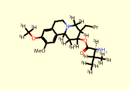 [2H]C([2H])([2H])Oc1cc2c(cc1OC)C1([2H])N(CC2)C([2H])([2H])C([2H])(CC(C)C)C([2H])(OC(=O)[C@@]([2H])(N)C([2H])(C([2H])([2H])[2H])C([2H])([2H])[2H])C1([2H])[2H]